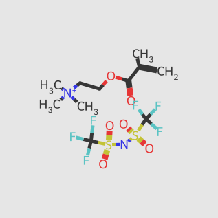 C=C(C)C(=O)OCC[N+](C)(C)C.O=S(=O)([N-]S(=O)(=O)C(F)(F)F)C(F)(F)F